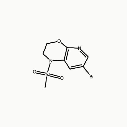 CS(=O)(=O)N1CCOc2ncc(Br)cc21